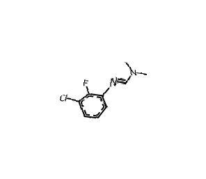 CN(C)C=Nc1cccc(Cl)c1F